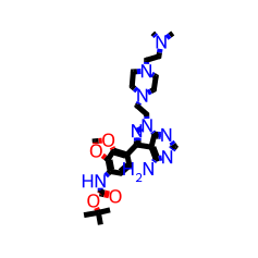 CN(C)CCN1CCN(CCn2nc(-c3ccc(NC(=O)OC(C)(C)C)c4c3OCO4)c3c(N)ncnc32)CC1